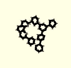 c1ccc(-c2ccc(-c3cc(-c4ccccc4)cc(-c4cccc(-c5ccc6ccc7ccc(-c8ccccc8)nc7c6n5)c4)c3)cc2)cc1